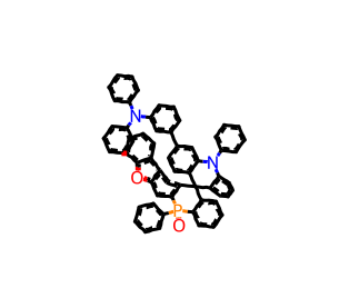 O=P1(c2ccccc2)c2ccccc2C2(c3ccccc3N(c3ccccc3)c3cc(-c4cccc(N(c5ccccc5)c5ccccc5)c4)ccc32)c2cc3c(cc21)oc1ccccc13